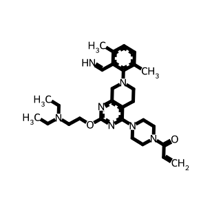 C=CC(=O)N1CCN(c2nc(OCCN(CC)CC)nc3c2CCN(c2c(C)ccc(C)c2C=N)C3)CC1